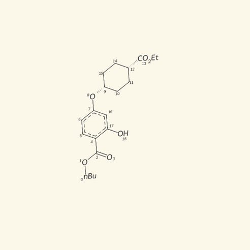 CCCCOC(=O)c1ccc(O[C@H]2CC[C@@H](C(=O)OCC)CC2)cc1O